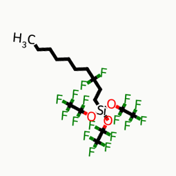 CCCCCCCC(F)(F)CC[Si](OC(F)(F)C(F)(F)F)(OC(F)(F)C(F)(F)F)OC(F)(F)C(F)(F)F